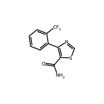 NC(=O)c1scnc1-c1ccccc1C(F)(F)F